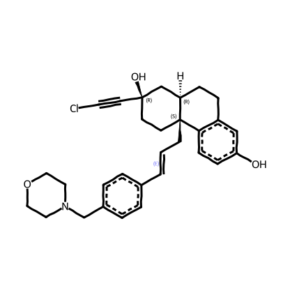 Oc1ccc2c(c1)CC[C@@H]1C[C@@](O)(C#CCl)CC[C@@]21C/C=C/c1ccc(CN2CCOCC2)cc1